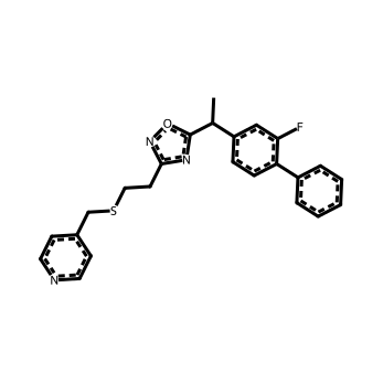 CC(c1ccc(-c2ccccc2)c(F)c1)c1nc(CCSCc2ccncc2)no1